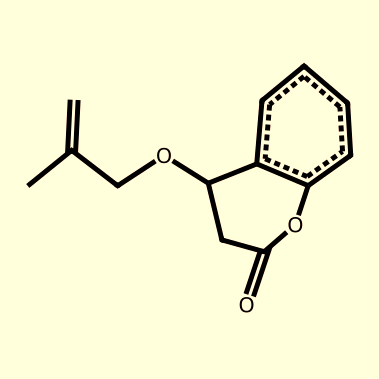 C=C(C)COC1CC(=O)Oc2ccccc21